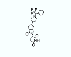 O=C1CCC(N2Cc3cc(C4CCN(C(c5ccccc5)C(F)(F)F)CC4)ccc3C2=O)C(=O)N1